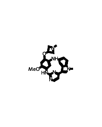 COc1cc(OC2CN(C)C2)c(N)cc1Nc1nccc(-c2cn(C)c3ccccc23)n1